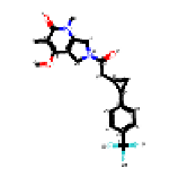 COc1c2c(n(C)c(=O)c1C)CN(C(=O)CC1CC1c1ccc(C(F)(F)F)cc1)C2